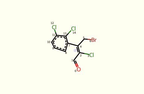 O=C/C(Cl)=C(/CBr)c1cccc(Cl)c1Cl